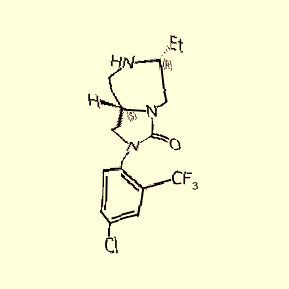 CC[C@@H]1CN2C(=O)N(c3ccc(Cl)cc3C(F)(F)F)C[C@@H]2CN1